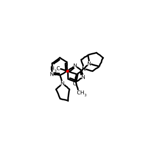 Cc1cc(C)nc(N2C3CCC2CN(C(=O)c2cccnc2N2CCCC2)C3)n1